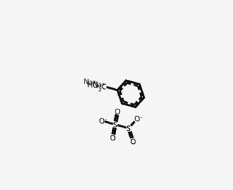 O=C(O)c1ccccc1.O=S([O-])S(=O)(=O)[O-].[Na+].[Na+]